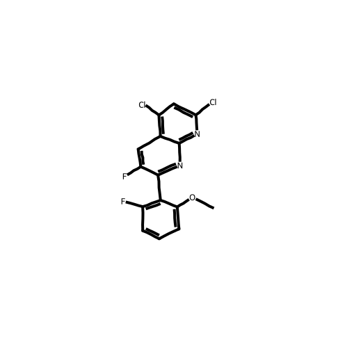 COc1cccc(F)c1-c1nc2nc(Cl)cc(Cl)c2cc1F